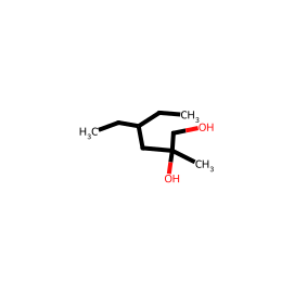 CCC(CC)CC(C)(O)CO